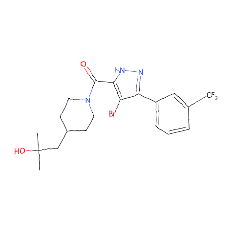 CC(C)(O)CC1CCN(C(=O)c2[nH]nc(-c3cccc(C(F)(F)F)c3)c2Br)CC1